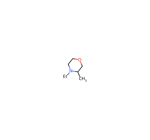 [CH2]CN1CCOCC1C